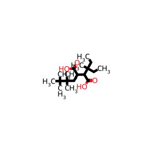 CCC(C)(CC)C(C(=O)O)C(CC(C)(C)C(C)(C)C)C(=O)O